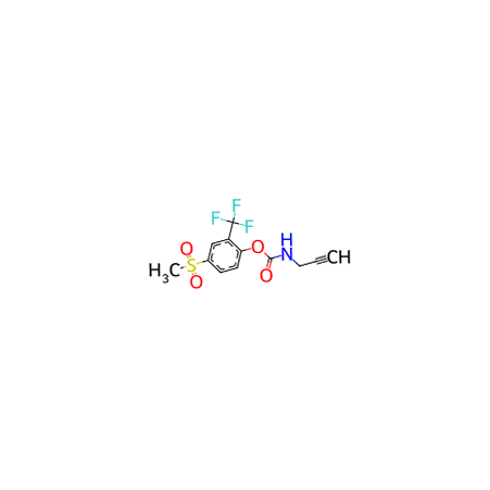 C#CCNC(=O)Oc1ccc(S(C)(=O)=O)cc1C(F)(F)F